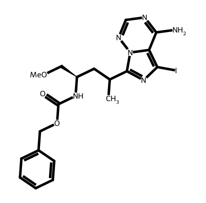 COC[C@@H](CC(C)c1nc(I)c2c(N)ncnn12)NC(=O)OCc1ccccc1